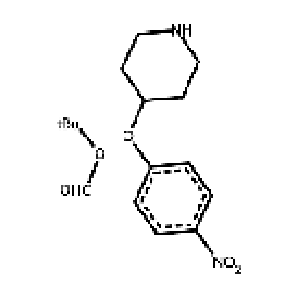 CC(C)(C)OC=O.O=[N+]([O-])c1ccc(OC2CCNCC2)cc1